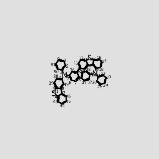 c1ccc(N(c2cccc(-c3ccc4sc5cccc(N(c6ccccc6)c6ccccc6)c5c4c3)c2)c2ccc3sc4ccccc4c3c2)cc1